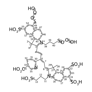 CC1(C)C(/C=C/C(=C/C=C2/N(CCCS(=O)(=O)O)c3ccc4c(S(=O)(=O)O)cc(S(=O)(=O)O)cc4c3C2(C)C)c2ccc(C(=O)O)cn2)=[N+](CCCSOOO)c2ccc3c(SOOO)cc(S(=O)(=O)O)cc3c21